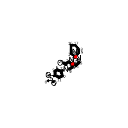 CS(=O)(=O)c1ccc(-n2ccc(OC3CC4CCC(C3)N4c3ncccn3)cc2=O)cc1